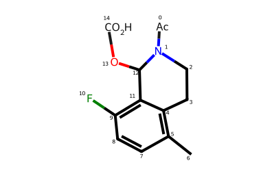 CC(=O)N1CCc2c(C)ccc(F)c2C1OC(=O)O